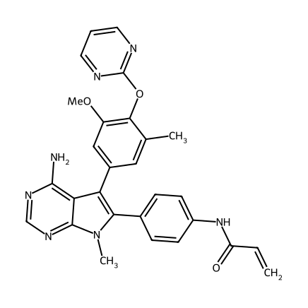 C=CC(=O)Nc1ccc(-c2c(-c3cc(C)c(Oc4ncccn4)c(OC)c3)c3c(N)ncnc3n2C)cc1